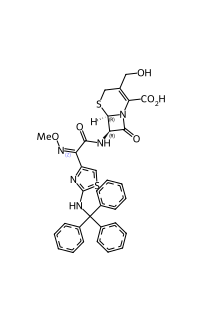 CO/N=C(\C(=O)N[C@@H]1C(=O)N2C(C(=O)O)=C(CO)CS[C@H]12)c1csc(NC(c2ccccc2)(c2ccccc2)c2ccccc2)n1